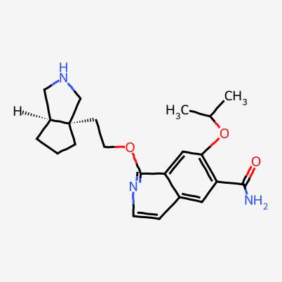 CC(C)Oc1cc2c(OCC[C@]34CCC[C@H]3CNC4)nccc2cc1C(N)=O